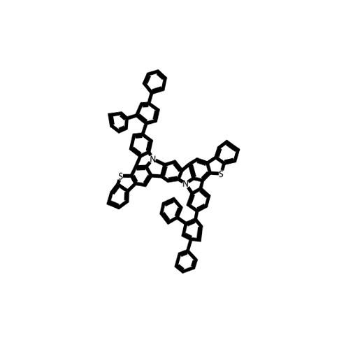 c1ccc(-c2ccc(-c3ccc4c5c6sc7ccccc7c6cc6c7cc8c(cc7n(c4c3)c65)c3cc4c5ccccc5sc4c4c5ccc(-c6ccc(-c7ccccc7)cc6-c6ccccc6)cc5n8c34)c(-c3ccccc3)c2)cc1